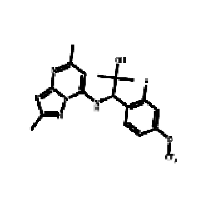 Cc1cc(N[C@H](c2ccc(OC(F)(F)F)cc2F)C(C)(C)O)n2nc(C)nc2n1